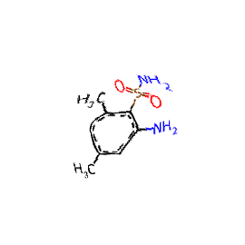 Cc1cc(C)c(S(N)(=O)=O)c(N)c1